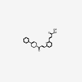 O=C(C=Cc1cccc(C=CC(=O)N2CC=C(c3ccccc3)CC2)n1)NO